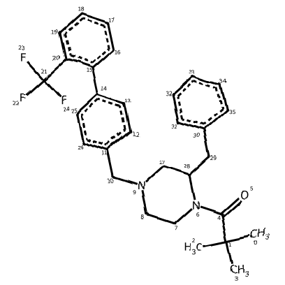 CC(C)(C)C(=O)N1CCN(Cc2ccc(-c3ccccc3C(F)(F)F)cc2)CC1Cc1ccccc1